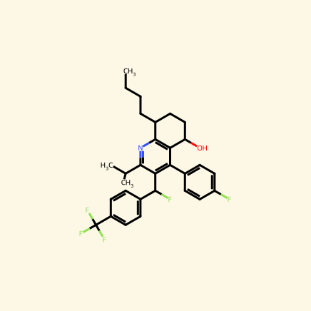 CCCCC1CCC(O)c2c1nc(C(C)C)c(C(F)c1ccc(C(F)(F)F)cc1)c2-c1ccc(F)cc1